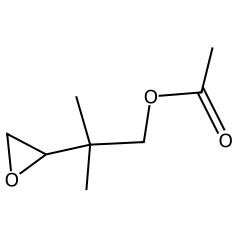 CC(=O)OCC(C)(C)C1CO1